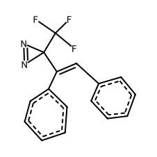 FC(F)(F)C1(C(=Cc2ccccc2)c2ccccc2)N=N1